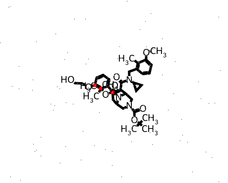 COc1cccc(CN(C(=O)C2=C(c3cccc(OCCO)c3)CC3CN(C(=O)OC(C)(C)C)CC2N3C(=O)OC(C)(C)C)C2CC2)c1C